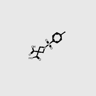 Cc1ccc(S(=O)(=O)N2CC(C(=O)O)(C(=O)O)C2)cc1